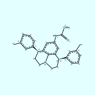 COC(=O)Nc1cc2c3c(c1)[C@H](c1cccc(C)c1)CCN3CC[C@@H]2c1cccc(C)c1